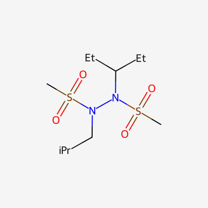 CCC(CC)N(N(CC(C)C)S(C)(=O)=O)S(C)(=O)=O